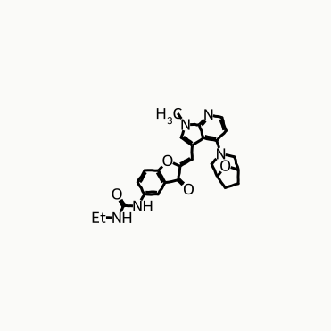 CCNC(=O)Nc1ccc2c(c1)C(=O)C(=Cc1cn(C)c3nccc(N4CC5CCC(C4)O5)c13)O2